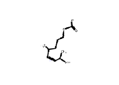 CCCCC(C)/C=C\C(C)CCCOC(=O)C(C)C